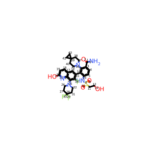 NC(=O)c1ccc(NS(=O)(=O)CCO)c(-c2cc3ccc(O)nc3c(N3CCC(F)(F)CC3)c2F)c1N1CCC2(CC1)CC2